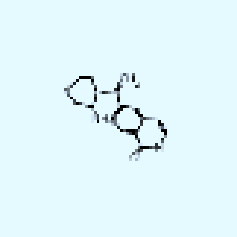 C=C(c1ccc2c(=O)[nH]ccc2c1)[C@H]1CCCCC1N